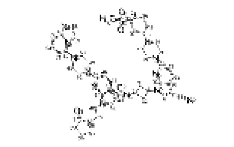 CNC1CC(n2cc(C#N)c3ccc(N4CCN(c5cccc(S(C)(=O)=O)c5)CC4)nc32)C1.O=C1CCCN1CCn1ccc2ccc(N3CCN(c4cccc5nccn45)CC3)nc21